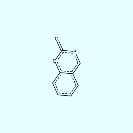 O=c1oc2ccccc2cp1